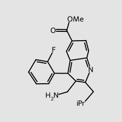 COC(=O)c1ccc2nc(CC(C)C)c(CN)c(-c3ccccc3F)c2c1